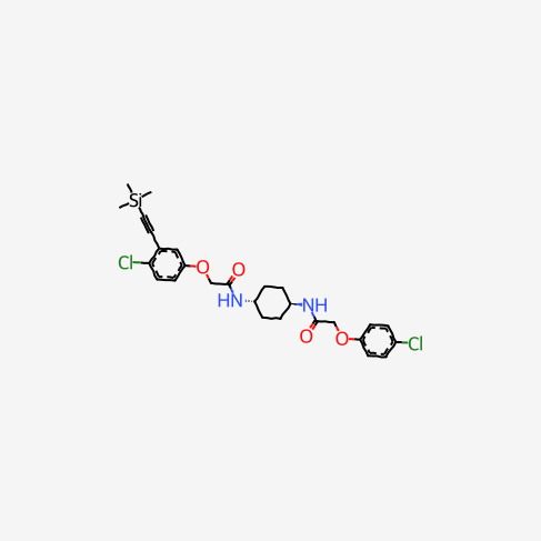 C[Si](C)(C)C#Cc1cc(OCC(=O)N[C@H]2CC[C@H](NC(=O)COc3ccc(Cl)cc3)CC2)ccc1Cl